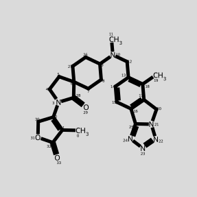 CC1=C(N2CCC3(CCC(N(C)Cc4ccc5c(c4C)Cn4nnnc4-5)CC3)C2=O)COC1=O